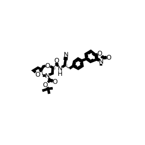 Cn1c(=O)oc2ccc(-c3ccc(C[C@@H](C#N)NC(=O)[C@@H]4CN(C(=O)OC(C)(C)C)C[C@]5(CCO5)CO4)cc3)cc21